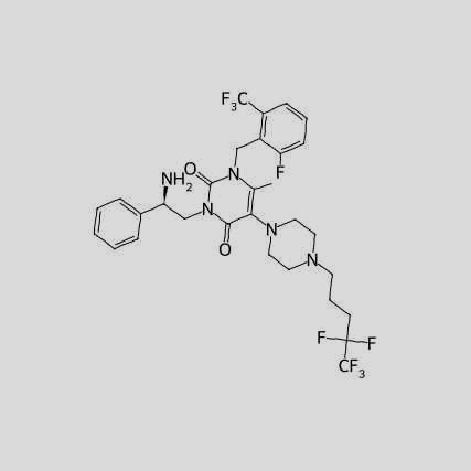 Cc1c(N2CCN(CCCC(F)(F)C(F)(F)F)CC2)c(=O)n(C[C@H](N)c2ccccc2)c(=O)n1Cc1c(F)cccc1C(F)(F)F